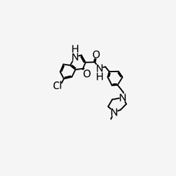 CN1CCN(Cc2ccc(CNC(=O)c3c[nH]c4ccc(Cl)cc4c3=O)cc2)CC1